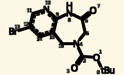 CC(C)(C)OC(=O)N1CC(=O)Nc2ncc(Br)cc2C1